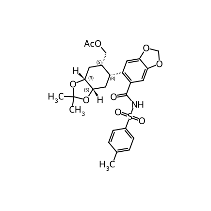 CC(=O)OC[C@H]1C[C@H]2OC(C)(C)O[C@H]2C[C@H]1c1cc2c(cc1C(=O)NS(=O)(=O)c1ccc(C)cc1)OCO2